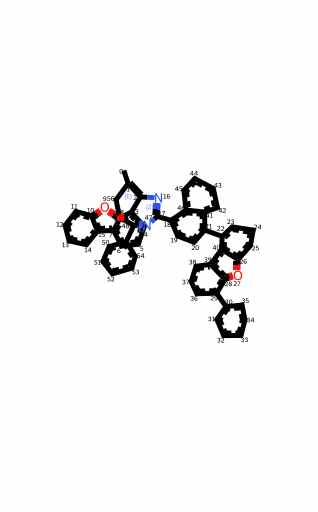 C\C1=C(c2cccc3c2oc2ccccc23)/N=C(c2ccc(-c3cccc4oc5c(-c6ccccc6)cccc5c34)c3ccccc23)\N=C(\c2ccccc2)CC1